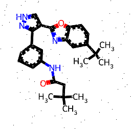 CC(C)(C)CC(=O)Nc1cccc(-c2n[nH]cc2-c2nc3cc(C(C)(C)C)ccc3o2)c1